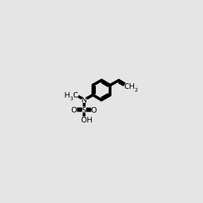 C=Cc1ccc(N(C)S(=O)(=O)O)cc1